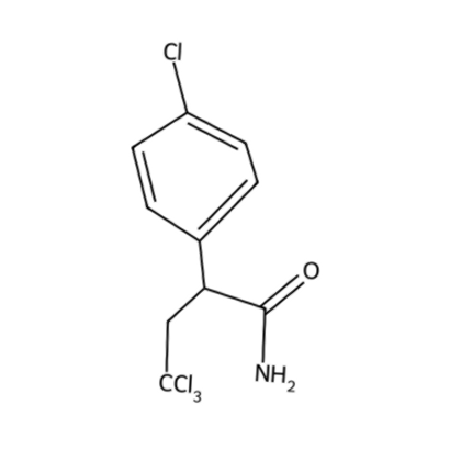 NC(=O)C(CC(Cl)(Cl)Cl)c1ccc(Cl)cc1